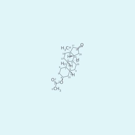 CC(=O)O[C@H]1CC[C@@H]2[C@H](CC[C@H]3[C@H]2CC[C@@]2(C)CC(=O)C[C@H]32)C1